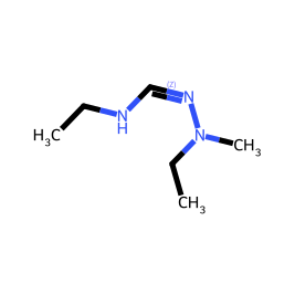 CCN/C=N\N(C)CC